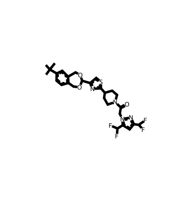 CC(C)(C)c1ccc2c(c1)COC(c1csc(C3CCN(C(=O)Cn4nc(C(F)F)cc4C(F)F)CC3)n1)OC2